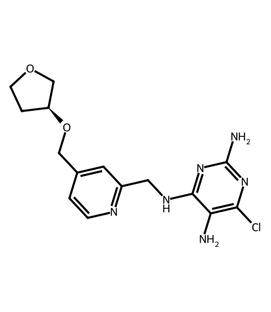 Nc1nc(Cl)c(N)c(NCc2cc(CO[C@H]3CCOC3)ccn2)n1